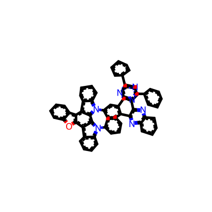 c1ccc(-c2nc(-c3ccccc3)nc(-c3cc(-n4c5ccccc5c5c6c7ccccc7oc6c6c7ccccc7n(-c7ccccc7)c6c54)ccc3-c3nc4ccccc4nc3-c3ccccc3)n2)cc1